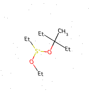 CCO[S+](CC)OC(C)(CC)CC